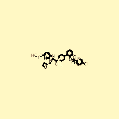 CC(c1nc2ccc(C(=O)O)nc2n1C[C@@H]1CCO1)N1CCC(c2cccc3c2OC(C)(c2ccc(Cl)cn2)O3)CC1